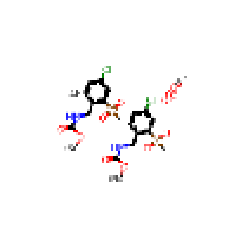 CC(C)(C)OC(=O)NCc1ccc(Cl)cc1S(C)(=O)=O.CC(C)(C)OC(=O)NCc1ccc(Cl)cc1S(C)(=O)=O.[Al+3].[Al+3].[O-2].[O-2].[O-2]